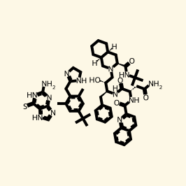 CC(C)(C)NC(=O)[C@@H]1C[C@@H]2CCCC[C@@H]2CN1C[C@@H](O)[C@H](Cc1ccccc1)NC(=O)[C@H](CC(N)=O)NC(=O)c1ccc2ccccc2n1.Cc1cc(C(C)(C)C)cc(C)c1CC1=NCCN1.Nc1nc2nc[nH]c2c(=S)[nH]1